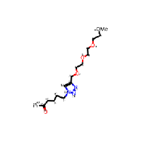 COCCOCCOCCOCc1cn(CCCCC(=O)C(C)C)nn1